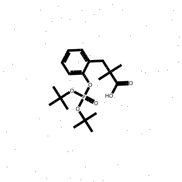 CC(C)(C)OP(=O)(Oc1ccccc1CC(C)(C)C(=O)O)OC(C)(C)C